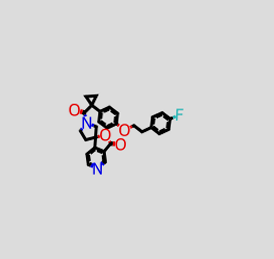 O=C1OC2(CCN(C(=O)C3(c4ccc(OCCc5ccc(F)cc5)cc4)CC3)C2)c2ccncc21